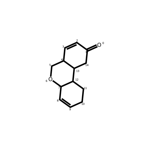 O=C1C=CC2COC3C=CCCC3C2C1